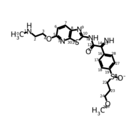 CNCCOc1ccc2nc(NC(=O)C(=N)c3ccc([S+]([O-])CCCOC)cc3)sc2n1